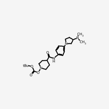 CN(C)C1CCN(c2ccc(NC(=O)C3CCN(OC(=O)OC(C)(C)C)CC3)cc2)C1